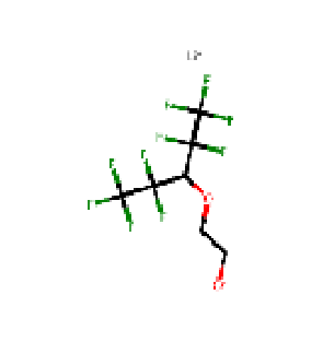 [Li+].[O-]CCOC(C(F)(F)C(F)(F)F)C(F)(F)C(F)(F)F